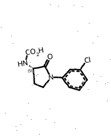 O=C(O)N[C@H]1CCN(c2cccc(Cl)c2)C1=O